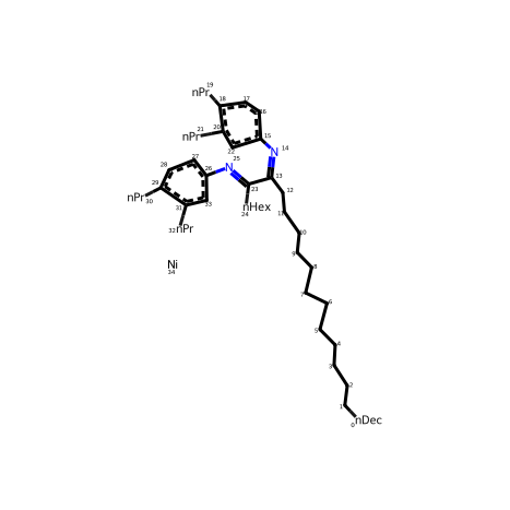 CCCCCCCCCCCCCCCCCCCCCCC(=Nc1ccc(CCC)c(CCC)c1)C(CCCCCC)=Nc1ccc(CCC)c(CCC)c1.[Ni]